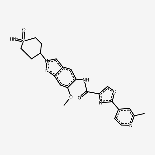 COc1cc2nn(C3CCS(=N)(=O)CC3)cc2cc1NC(=O)c1coc(-c2ccnc(C)c2)n1